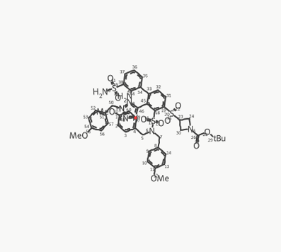 COc1ccc(CN(Cc2ccc(OC)cc2)S(=O)(=O)c2c(S(=O)(=O)C3CN(C(=O)OC(C)(C)C)C3)ccc(-c3cccc(S(N)(=O)=O)c3N)c2-c2nnn(Cc3ccc(OC)cc3)n2)cc1